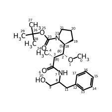 CO[C@H]([C@@H](C)C(=O)NC(CO)Cc1ccccc1)[C@@H]1CCCN1C(=O)OC(C)(C)C